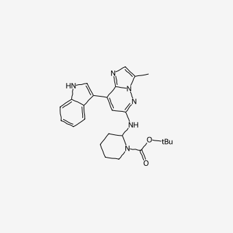 Cc1cnc2c(-c3c[nH]c4ccccc34)cc(NC3CCCCN3C(=O)OC(C)(C)C)nn12